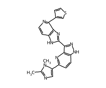 Cc1ncc(-c2ccc3[nH]nc(-c4nc5c(-c6ccsc6)nccc5[nH]4)c3n2)n1C